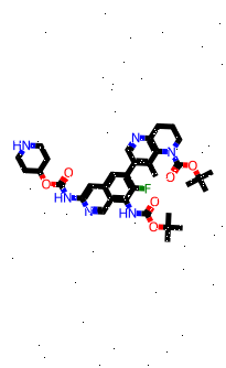 Cc1c(-c2cc3cc(NC(=O)OC4CCNCC4)ncc3c(NC(=O)OC(C)(C)C)c2F)cnc2c1N(C(=O)OC(C)(C)C)CCC2